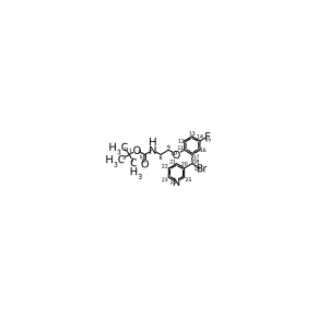 CC(C)(C)OC(=O)NCCOc1ccc(F)cc1C(Br)c1cccnc1